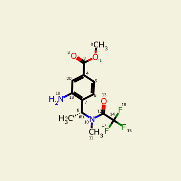 COC(=O)c1ccc([C@@H](C)N(C)C(=O)C(F)(F)F)c(N)c1